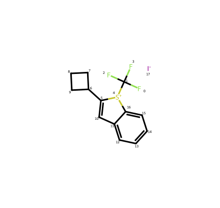 FC(F)(F)[s+]1c(C2CCC2)cc2ccccc21.[I-]